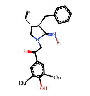 CC(C)C[C@H]1CN(CC(=O)c2cc(C(C)(C)C)c(O)c(C(C)(C)C)c2)/C(=N\Br)[C@@H]1Cc1ccccc1